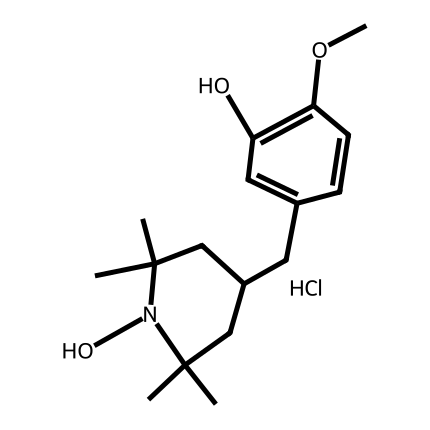 COc1ccc(CC2CC(C)(C)N(O)C(C)(C)C2)cc1O.Cl